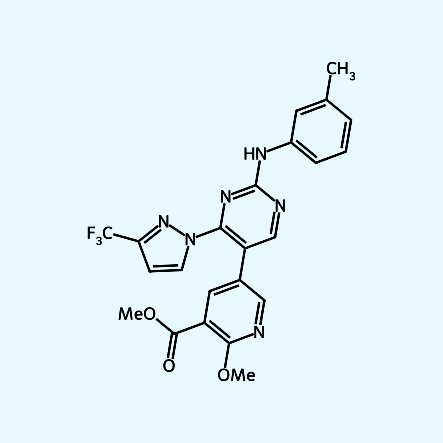 COC(=O)c1cc(-c2cnc(Nc3cccc(C)c3)nc2-n2ccc(C(F)(F)F)n2)cnc1OC